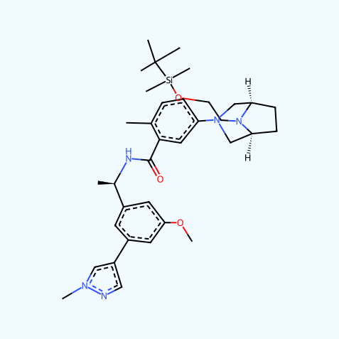 COc1cc(-c2cnn(C)c2)cc([C@@H](C)NC(=O)c2cc(N3C[C@H]4CC[C@@H](C3)N4CCO[Si](C)(C)C(C)(C)C)ccc2C)c1